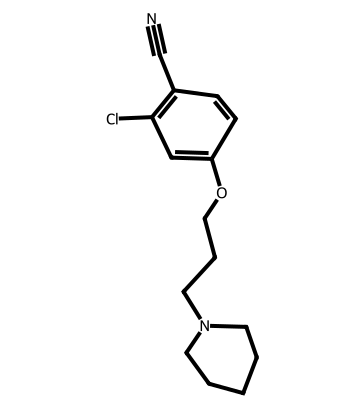 N#Cc1ccc(OCCCN2CCCCC2)cc1Cl